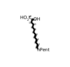 CCCCCC=CC=CC=CCCCCCC(O)C(=O)O